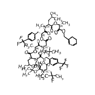 CC(C)C[C@@H](C(=O)O[C@H](C)C(=O)N(C)[C@@H](CC(C)(C)F)C(=O)O[C@H](Cc1ccc(C(F)(F)F)cc1)C(=O)N(C)[C@@H](CC(C)C)C(=O)O[C@H](C)C(=O)OCC1=CC=CCC1)N(C)C(=O)[C@@H](Cc1ccc(C(F)(F)F)cc1)OC(=O)[C@H](CC(C)(C)F)N(C)C(=O)OC(C)(C)C